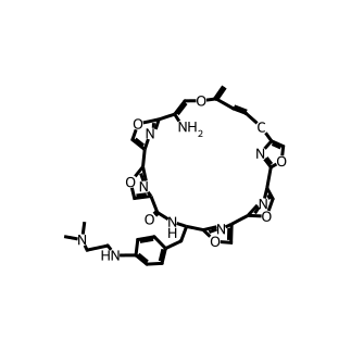 C=C1/C=C/Cc2coc(n2)-c2coc(n2)-c2coc(n2)C(Cc2ccc(NCCN(C)C)cc2)NC(=O)c2coc(n2)-c2coc(n2)/C(N)=C/O1